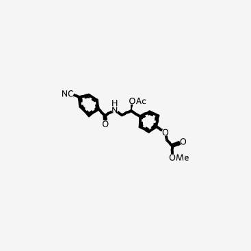 COC(=O)COc1ccc([C@@H](CNC(=O)c2ccc(C#N)cc2)OC(C)=O)cc1